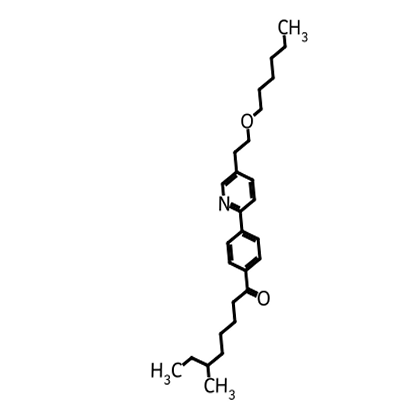 CCCCCCOCCc1ccc(-c2ccc(C(=O)CCCCC(C)CC)cc2)nc1